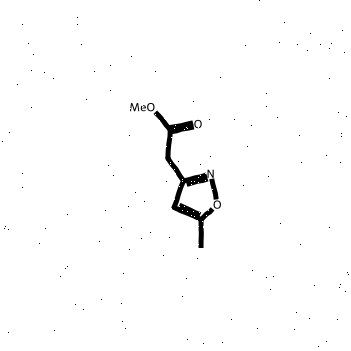 COC(=O)Cc1cc(C)on1